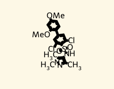 COc1ccc(-c2cc(Cl)c(S(=O)(=O)Nc3c(C)nn(C)c3C)c(Cl)c2)c(OC)c1